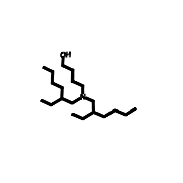 CCCCC(CC)CN(CCCCO)CC(CC)CCCC